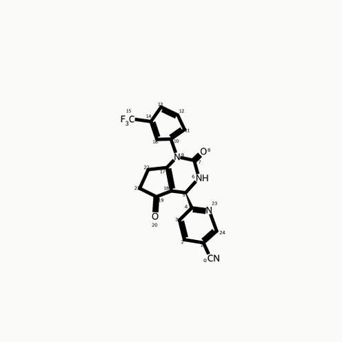 N#Cc1ccc([C@@H]2NC(=O)N(c3cccc(C(F)(F)F)c3)C3=C2C(=O)CC3)nc1